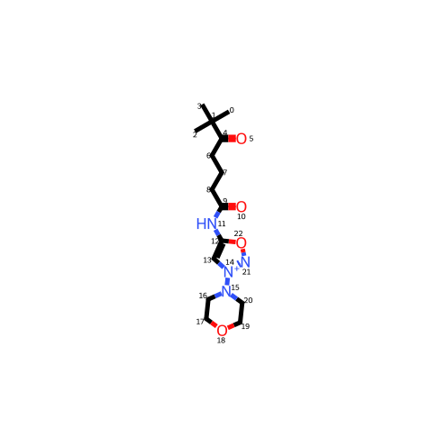 CC(C)(C)C(=O)CCCC(=O)Nc1c[n+](N2CCOCC2)no1